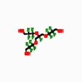 OCC(F)(F)C(F)(F)OCC(F)(COC(F)(F)C(F)(F)CO)OC(F)(F)C(F)(F)CO